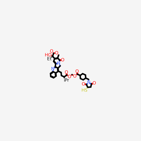 CC[C@@]1(O)C(=O)OCc2c1cc1n(c2=O)Cc2c-1nc1ccccc1c2CCC(C(=O)OCOC(=O)C1CCC(CN2C(=O)CC(S)C2=O)CC1)C(C)C